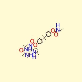 CCNC(=O)Oc1ccc(C(C)(C)c2ccc(OC(=O)N(CC(C)NC(=O)C(C)NC)CC3CCC(C)N3)cc2)cc1